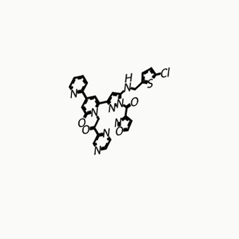 O=C(Cn1c(-c2cc(NCc3ccc(Cl)s3)n(C(=O)c3ccon3)n2)cc(-c2ccccn2)cc1=O)c1cnccn1